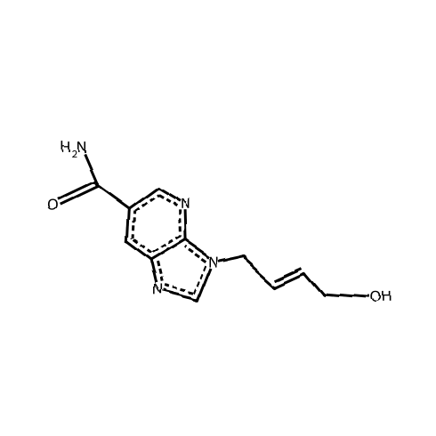 NC(=O)c1cnc2c(c1)ncn2CC=CCO